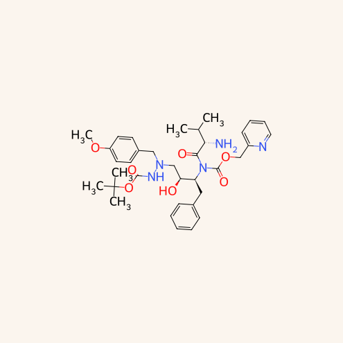 COc1ccc(CN(C[C@H](O)[C@H](Cc2ccccc2)N(C(=O)OCc2ccccn2)C(=O)[C@@H](N)C(C)C)NC(=O)OC(C)(C)C)cc1